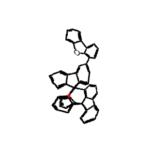 c1ccc(C23c4ccccc4-c4cccc(c42)C2(c4ccccc4-c4cc(-c5cccc6c5oc5ccccc56)ccc42)c2ccccc23)cc1